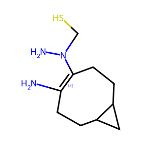 N/C1=C(\N(N)CS)CCC2CC2CC1